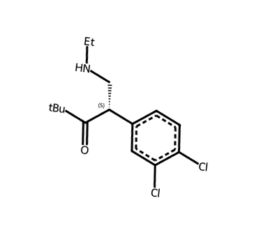 CCNC[C@@H](C(=O)C(C)(C)C)c1ccc(Cl)c(Cl)c1